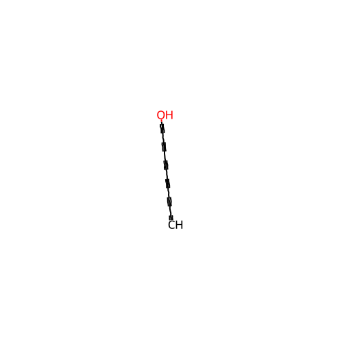 C#CC#CC#CC#CC#CC#CO